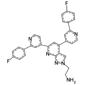 NCCn1cc2c(-c3ccnc(-c4ccc(F)cc4)c3)cc(-c3ccnc(-c4ccc(F)cc4)c3)nc2n1